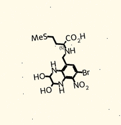 CSCC[C@H](NCc1cc(Br)c([N+](=O)[O-])c2c1NC(O)C(O)N2)C(=O)O